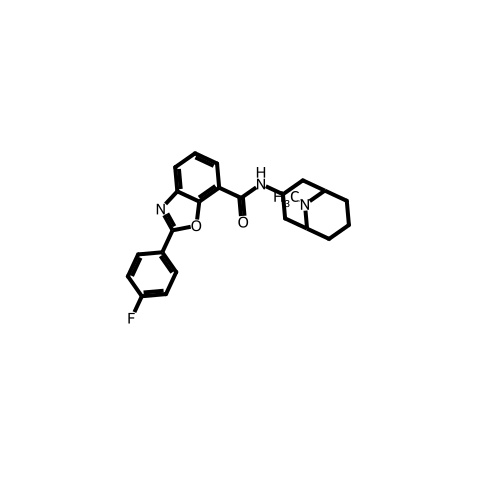 CN1C2CCCC1CC(NC(=O)c1cccc3nc(-c4ccc(F)cc4)oc13)C2